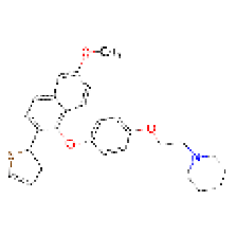 COc1ccc2c(Oc3ccc(OCCN4CCCCC4)cc3)c(C3CC=CS3)ccc2c1